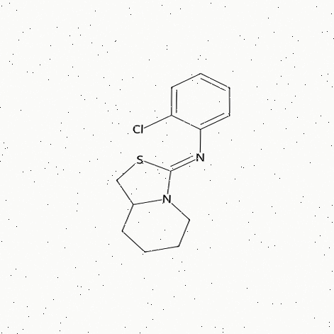 Clc1ccccc1/N=C1\SCC2CCCCN12